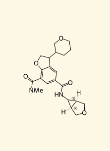 CNC(=O)c1cc(C(=O)NC2[C@H]3COC[C@@H]23)cc2c1OCC2C1CCCOC1